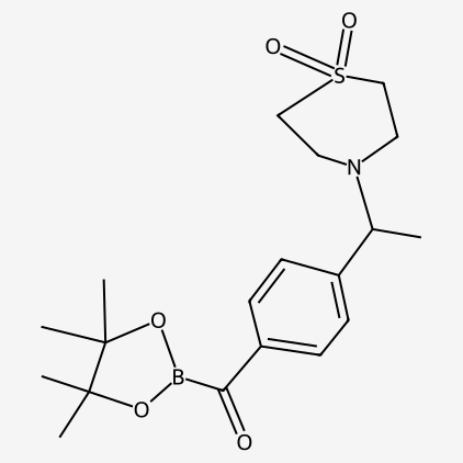 CC(c1ccc(C(=O)B2OC(C)(C)C(C)(C)O2)cc1)N1CCS(=O)(=O)CC1